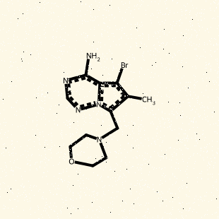 Cc1c(Br)c2c(N)ncnn2c1CN1CCOCC1